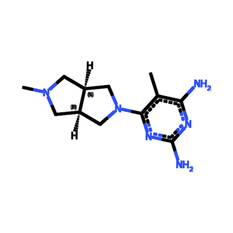 Cc1c(N)nc(N)nc1N1C[C@H]2CN(C)C[C@H]2C1